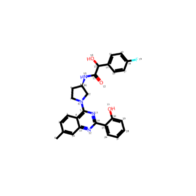 Cc1ccc2c(N3CC[C@@H](NC(=O)C(O)c4ccc(F)cc4)C3)nc(-c3ccccc3O)nc2c1